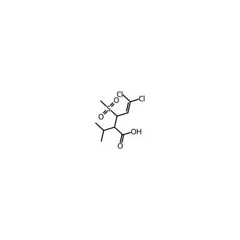 CC(C)C(C(=O)O)C(C=C(Cl)Cl)S(C)(=O)=O